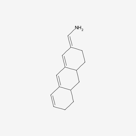 N/C=C1/C=C2C=C3C=CCCC3CC2CC1